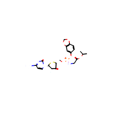 CC(C)OC(=O)[C@H](C)NP(=O)(OC[C@H]1S[C@@H](n2ccc(N)nc2=O)[C@@H](F)C1=O)Oc1ccc2c(c1)OCO2